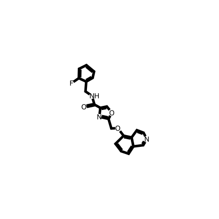 O=C(NCc1ccccc1F)c1coc(COc2cccc3cnccc23)n1